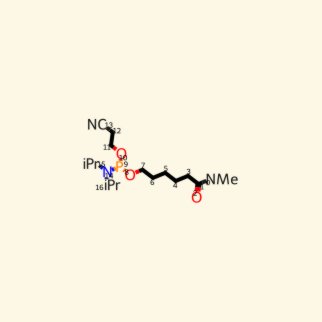 CNC(=O)CCCCCOP(OCCC#N)N(C(C)C)C(C)C